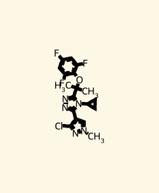 Cn1cc(-c2nnc(C(C)(C)Oc3c(F)cc(F)cc3F)n2C2CC2)c(Cl)n1